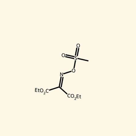 CCOC(=O)C(=NOS(C)(=O)=O)C(=O)OCC